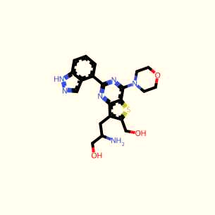 NC(CO)Cc1c(CO)sc2c(N3CCOCC3)nc(-c3cccc4[nH]ncc34)nc12